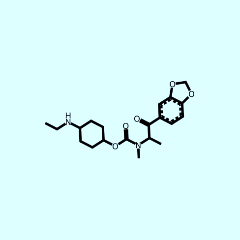 CCNC1CCC(OC(=O)N(C)C(C)C(=O)c2ccc3c(c2)OCO3)CC1